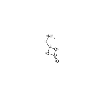 NCC1OC(=O)O1